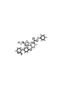 NC1=NC2(CO1)c1cc(-c3cccnc3F)ccc1OC1CCN(C(=O)OCc3ccccc3)CC12